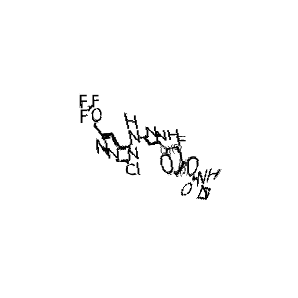 O=C(NC12CC(C1)C2)O[C@H]1CO[C@@H](c2cc(Nc3nc(Cl)cn4nc(COC(F)(F)F)cc34)n[nH]2)[C@@H]1F